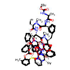 CCSSc1cccc(C)c1OC(=O)C[C@H](NC(=O)[C@H](Cc1ccccc1)NC(=O)[C@H](C(C)C)N(C)C(=O)[C@H](CC(C)C)N(C)C(=O)CNC(=O)[C@H](Cc1ccccc1)N(C)C(=O)[C@@H](NC(=O)[C@H](CC(C)C)N(C)C(=O)[C@@H](NC(=O)[C@H](C)NC(=O)OC(C)(C)C)C(C)C)[C@@H](C)OC(c1ccccc1)(c1ccccc1)c1ccccc1)C(=O)N(C)[C@@H](Cc1ccccc1)C(=O)N[C@@H](C)C(=O)N1CCCCC1